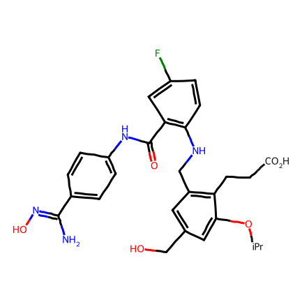 CC(C)Oc1cc(CO)cc(CNc2ccc(F)cc2C(=O)Nc2ccc(/C(N)=N/O)cc2)c1CCC(=O)O